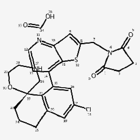 O=C1CCC(=O)N1Cc1cc2nccc(-c3cc(Cl)cc4c3[C@@]3(CCC4)CNCCO3)c2s1.O=CO